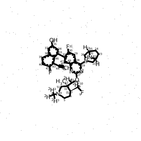 [2H]C([2H])([2H])N1CC[C@H](C(F)F)[C@](C)(C([2H])([2H])Oc2nc(N3C[C@H]4CC[C@@H](C3)N4)c3cc(F)c(-c4cc(O)cc5ccc(F)c(C#C)c45)c(F)c3n2)C1